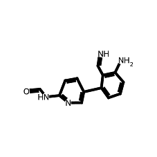 N=Cc1c(N)cccc1-c1ccc(NC=O)nc1